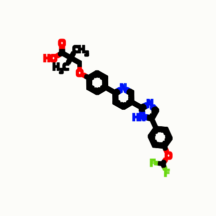 CC(C)(COc1ccc(-c2ccc(-c3ncc(-c4ccc(OC(F)F)cc4)[nH]3)cn2)cc1)C(=O)O